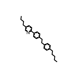 CCCCCc1ccc(CCc2ccc(-c3ccc(CCCC)cn3)cc2)cc1